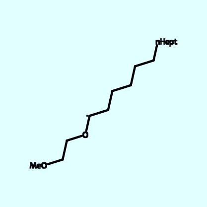 CCCCCCCCCCCC[CH]OCCOC